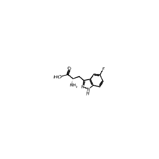 N[C@@H](Cc1n[nH]c2ccc(F)cc12)C(=O)O